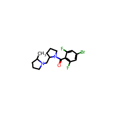 CC1CCCN1CC1CCCN1C(=O)c1c(F)cc(Br)cc1F